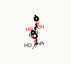 CCCC(OC[C@@H]1CC[C@@H]2[C@@H](C=C[C@@H](O)COc3ccc(C)cc3)[C@H](O)C[C@@H]2OC1)C(=O)O